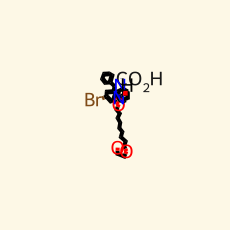 O=C(O)N(C(c1ccccc1)c1cc(Br)cc(OCCCCCCCCC2OCCO2)c1)[C@H]1CN2CCC1CC2